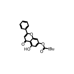 CC(C)(C)C(=O)Oc1cc(O)c2c(=O)cc(-c3ccccc3)oc2c1